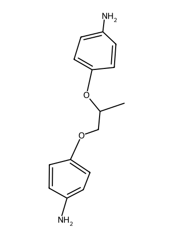 CC(COc1ccc(N)cc1)Oc1ccc(N)cc1